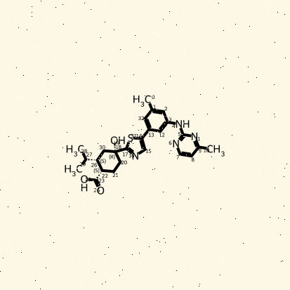 Cc1cc(Nc2nccc(C)n2)cc(-c2cnc([C@@]3(O)CC[C@H](C(=O)O)[C@H](C(C)C)C3)s2)c1